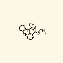 COC(=O)c1cccnc1N(C(C)=O)c1ccccc1Cl